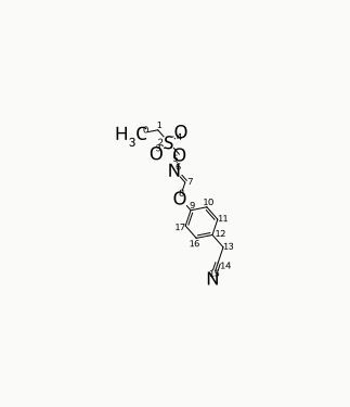 CCS(=O)(=O)ON=COc1ccc(CC#N)cc1